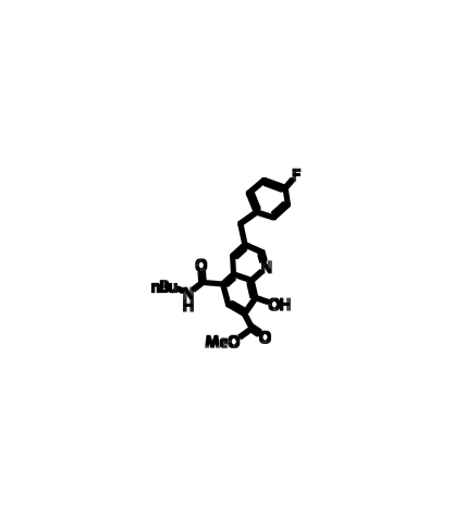 CCCCNC(=O)c1cc(C(=O)OC)c(O)c2ncc(Cc3ccc(F)cc3)cc12